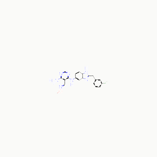 CO/N=C/c1c(N)ncnc1NC1=CC2N=C(Cc3cccc(F)c3)NC2C=C1